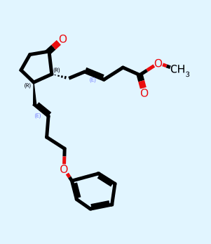 COC(=O)C/C=C/C[C@H]1C(=O)CC[C@@H]1/C=C/CCOc1ccccc1